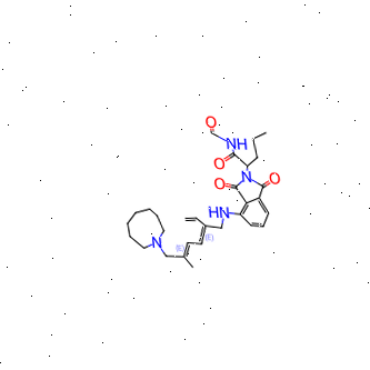 C=C/C(=C\C=C(/C)CN1CCCCCCC1)CNc1cccc2c1C(=O)N(C(CCC)C(=O)NC=O)C2=O